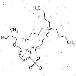 CC(O)COc1ccc(S(=O)(=O)[O-])cc1.CCCC[P+](CCCC)(CCCC)CCCC